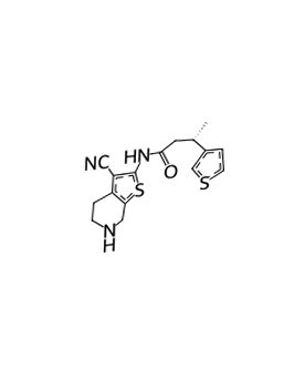 C[C@@H](CC(=O)Nc1sc2c(c1C#N)CCNC2)c1ccsc1